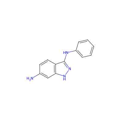 Nc1ccc2c(Nc3ccccc3)n[nH]c2c1